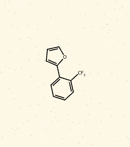 FC(F)(F)c1ccccc1-c1[c]cco1